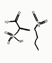 CC(C(=O)O)S(=O)(=O)S.CCCC[SH](=O)=O